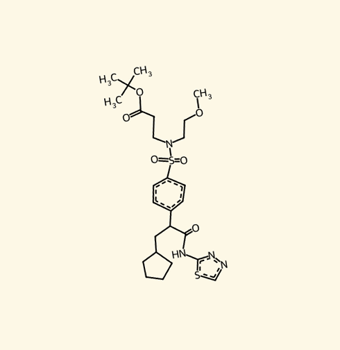 COCCN(CCC(=O)OC(C)(C)C)S(=O)(=O)c1ccc(C(CC2CCCC2)C(=O)Nc2nncs2)cc1